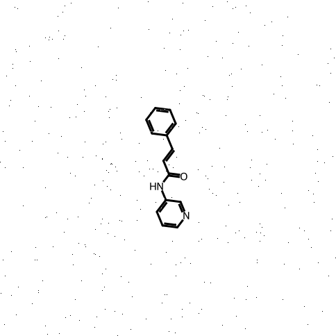 O=C(C=Cc1ccccc1)Nc1cccnc1